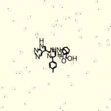 Cc1ccc(-c2cc(N[C@H]3C4CCC(CC4)[C@@H]3C(=O)O)nc(-c3c[nH]c4ncncc34)n2)cc1